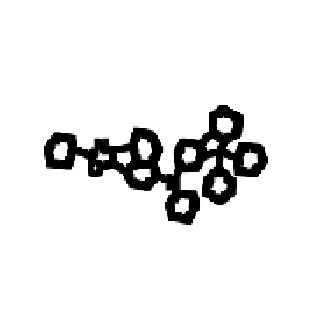 c1ccc(-c2nc3c(o2)-c2ccc(N(c4ccccc4)c4ccc5c(c4)C(c4ccccc4)(c4ccccc4)c4ccccc4-5)c4cccc-3c24)cc1